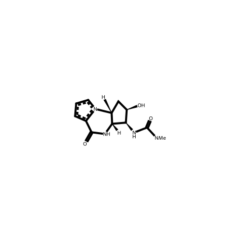 CNC(=O)N[C@H]1[C@@H]2NC(=O)c3cccn3[C@@H]2C[C@H]1O